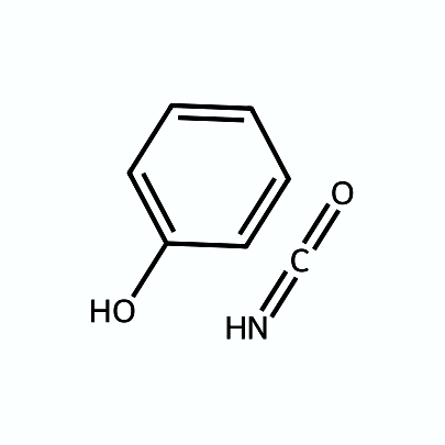 N=C=O.Oc1ccccc1